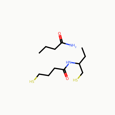 CCC(CS)NC(=O)CCCS.CCCC(N)=O